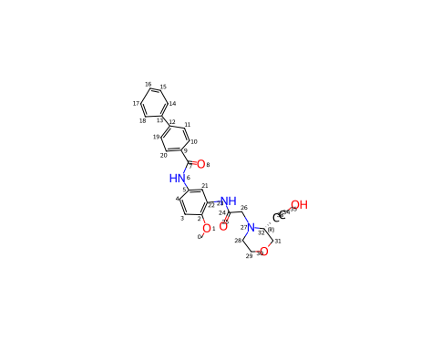 COc1ccc(NC(=O)c2ccc(-c3ccccc3)cc2)cc1NC(=O)CN1CCOC[C@H]1CCO